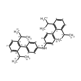 CC(C)c1cccc(C(C)C)c1-c1ccc(Nc2ccc(-c3c(C(C)C)cccc3C(C)C)cc2)cc1